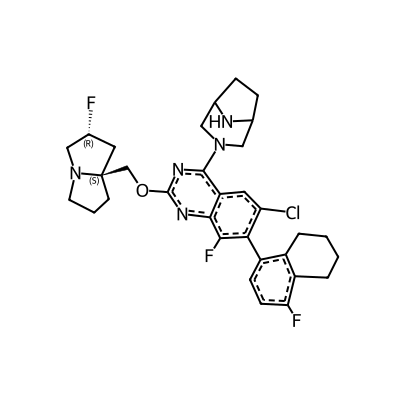 Fc1ccc(-c2c(Cl)cc3c(N4CC5CCC(C4)N5)nc(OC[C@@]45CCCN4C[C@H](F)C5)nc3c2F)c2c1CCCC2